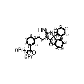 CCCN(CCC)C(=O)c1cccc(CCN2C(=N)NC(c3ccccc3)(c3ccccc3)C2=O)c1